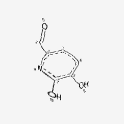 O=Cc1ccc(O)c(O)n1